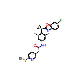 CCSc1ccc(CC(=O)Nc2cc(C)c(C3(c4nc5ccc(F)cc5o4)CC3)c(C)c2)cn1